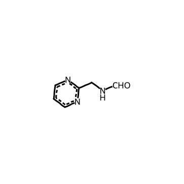 O=CNCc1ncccn1